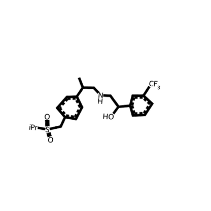 CC(CNCC(O)c1cccc(C(F)(F)F)c1)c1ccc(CS(=O)(=O)C(C)C)cc1